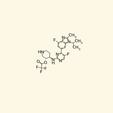 Cc1nc2c(F)cc(-c3nc(N[C@@H]4CCNC[C@H]4OC(=O)C(F)(F)F)ncc3F)cc2n1C(C)C